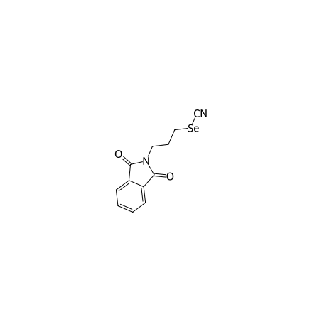 N#C[Se]CCCN1C(=O)c2ccccc2C1=O